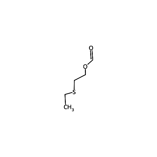 CCSCCOC=O